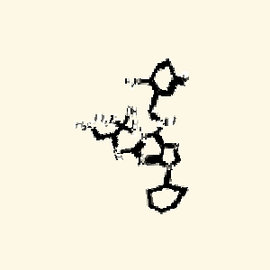 CCC(Nc1nc(NCc2cc(F)ccc2N)c2ncn(C3CCCCC3)c2n1)C(C)(C)O